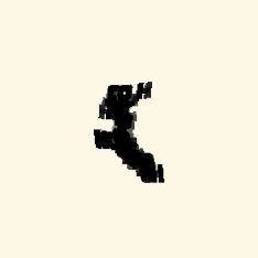 N#Cc1cc(-c2cccc(NC(=O)[C@@H]3C[C@@H]3C(=O)O)c2)ccc1O[C@H]1CCN(C(=O)CO)C[C@H]1F